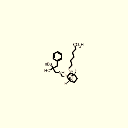 CCCCC(O)(CNC[C@@H]1[C@H](CCCCCCC(=O)O)[C@@H]2CC[C@H]1O2)Cc1ccccc1